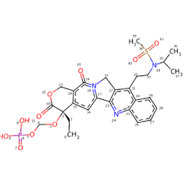 CC[C@@]1(OCOP(=O)(O)O)C(=O)OCc2c1cc1n(c2=O)Cc2c-1nc1ccccc1c2CCN(C(C)C)S(C)(=O)=O